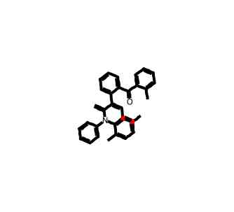 C=C(/C(=C\C=C/C)c1ccccc1C(=O)c1ccccc1C)N(c1ccccc1)c1ccccc1C